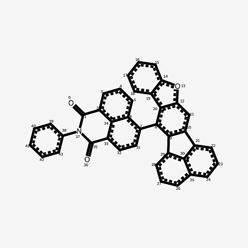 O=C1c2cccc3c(-c4c5c(cc6oc7ccccc7c46)-c4cccc6cccc-5c46)ccc(c23)C(=O)N1c1ccccc1